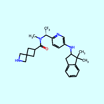 CN(C(=O)C1CC2(CNC2)C1)[C@@H](c1ccc(NC2Cc3ccccc3C2(C)C)cn1)C(F)(F)F